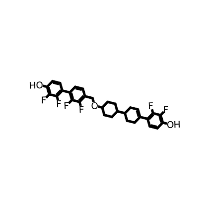 Oc1ccc(C2=CCC(C3CCC(OCc4ccc(-c5ccc(O)c(F)c5F)c(F)c4F)CC3)CC2)c(F)c1F